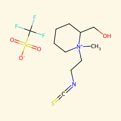 C[N+]1(CCN=C=S)CCCCC1CO.O=S(=O)([O-])C(F)(F)F